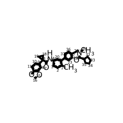 Cc1ccc(NC(=O)C2(c3ccc4c(c3)OCO4)CC2)cc1-c1ccc(CN(C)C(=O)C2CCCC2)cc1